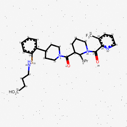 CCCC1C(C(=O)N2CCC(c3ccccc3SNCCCC(=O)O)CC2)CCCN1C(=O)c1ncccc1C(F)(F)F